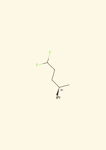 CC(C)[C@H](C)CCC(F)F